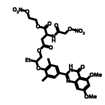 CCC(COC(=O)CC(NC(=O)CO[N+](=O)[O-])C(=O)OCCO[N+](=O)[O-])Oc1c(C)cc(-c2nc3cc(OC)cc(OC)c3c(=O)[nH]2)cc1C